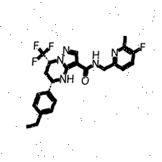 CCc1ccc([C@@H]2C[C@H](C(F)(F)F)n3ncc(C(=O)NCc4ccc(F)c(C)n4)c3N2)cc1